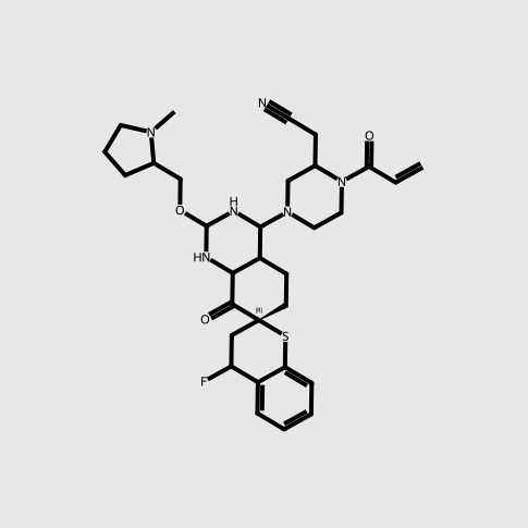 C=CC(=O)N1CCN(C2NC(OCC3CCCN3C)NC3C(=O)[C@@]4(CCC32)CC(F)c2ccccc2S4)CC1CC#N